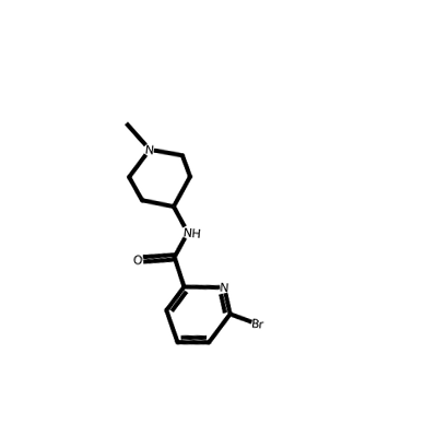 CN1CCC(NC(=O)c2cccc(Br)n2)CC1